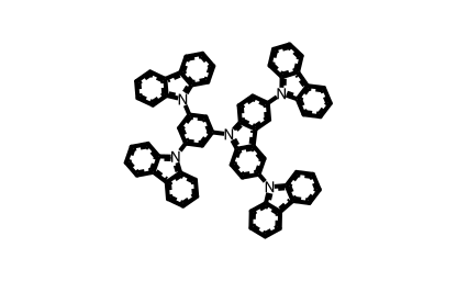 c1ccc2c(c1)c1ccccc1n2-c1cc(-n2c3ccccc3c3ccccc32)cc(-n2c3ccc(-n4c5ccccc5c5ccccc54)cc3c3cc(-n4c5ccccc5c5ccccc54)ccc32)c1